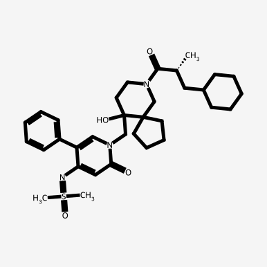 C[C@H](CC1CCCCC1)C(=O)N1CCC(O)(Cn2cc(-c3ccccc3)c(N=S(C)(C)=O)cc2=O)C2(CCCC2)C1